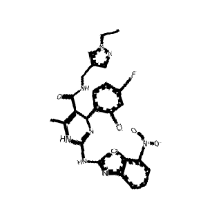 CCn1cc(CNC(=O)C2=C(C)NC(Nc3nc4cccc([N+](=O)[O-])c4o3)=NC2c2ccc(F)cc2Cl)cn1